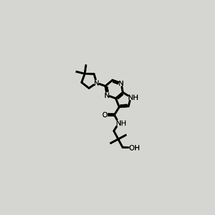 CC(C)(CO)CNC(=O)c1c[nH]c2ncc(N3CCC(C)(C)C3)nc12